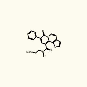 CCN(CCOC)C(=O)c1cc(-c2ccccc2)c(=O)n2ccc3ccsc3c12